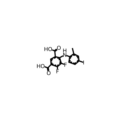 Cc1cc(I)ccc1Nc1c(C(=O)O)cc(C(=O)O)c(F)c1F